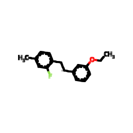 CCOc1cccc([CH]Cc2ccc(C)cc2F)c1